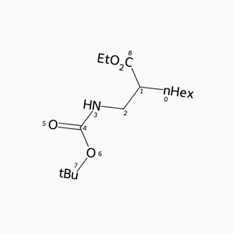 CCCCCCC(CNC(=O)OC(C)(C)C)C(=O)OCC